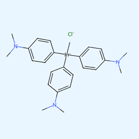 CN(C)c1cc[c]([In-]([CH3])([c]2ccc(N(C)C)cc2)[c]2ccc(N(C)C)cc2)cc1.[Cl-]